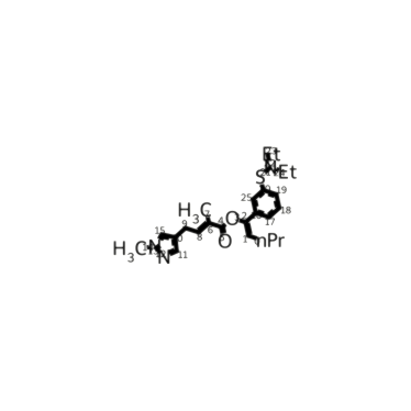 CCC/C=C(/OC(=O)/C(C)=C/Cc1cnn(C)c1)c1cccc(SN(CC)CC)c1